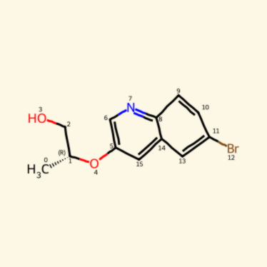 C[C@H](CO)Oc1cnc2ccc(Br)cc2c1